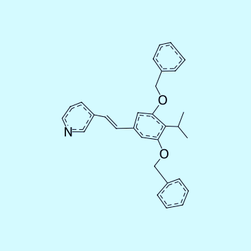 CC(C)c1c(OCc2ccccc2)cc(C=Cc2cccnc2)cc1OCc1ccccc1